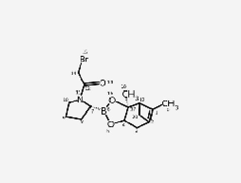 CC1=C2CC3OB([C@@H]4CCCN4C(=O)CBr)O[C@@]3(C)C1C2